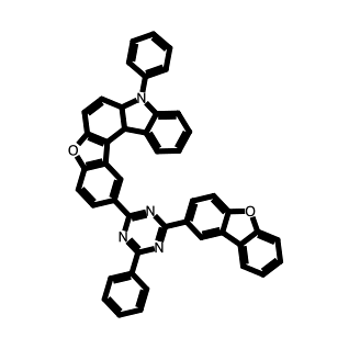 C1=CC2C(c3ccccc3N2c2ccccc2)c2c1oc1ccc(-c3nc(-c4ccccc4)nc(-c4ccc5oc6ccccc6c5c4)n3)cc21